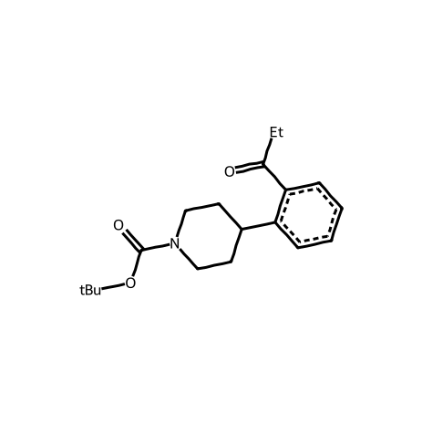 CCC(=O)c1ccccc1C1CCN(C(=O)OC(C)(C)C)CC1